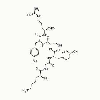 N=C(N)NCCC[C@@H]([C]=O)NC(=O)[C@H](Cc1ccc(O)cc1)NC(=O)[C@H](CS)NC(=O)[C@H](Cc1ccc(O)cc1)NC(=O)CNC(=O)[C@@H](N)CCCCN